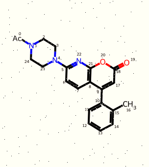 CC(=O)N1CCN(c2ccc3c(-c4ccccc4C)cc(=O)oc3n2)CC1